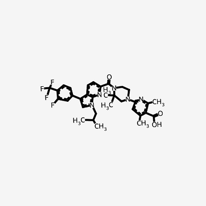 Cc1cc(N2CCN(C(=O)c3ccc4c(-c5ccc(C(F)(F)F)c(F)c5)cn(CC(C)C)c4n3)C(C)(C)C2)nc(C)c1C(=O)O